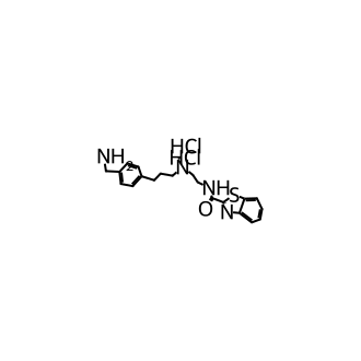 CN(CCCc1ccc(CN)cc1)CCNC(=O)c1nc2ccccc2s1.Cl.Cl